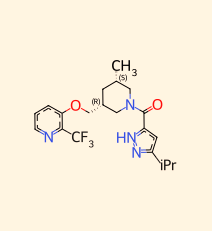 CC(C)c1cc(C(=O)N2C[C@@H](C)C[C@@H](COc3cccnc3C(F)(F)F)C2)[nH]n1